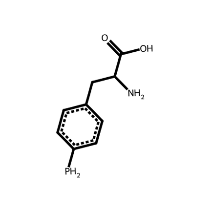 NC(Cc1ccc(P)cc1)C(=O)O